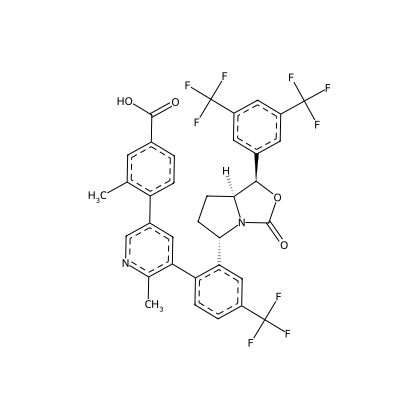 Cc1cc(C(=O)O)ccc1-c1cnc(C)c(-c2ccc(C(F)(F)F)cc2[C@@H]2CC[C@H]3[C@@H](c4cc(C(F)(F)F)cc(C(F)(F)F)c4)OC(=O)N23)c1